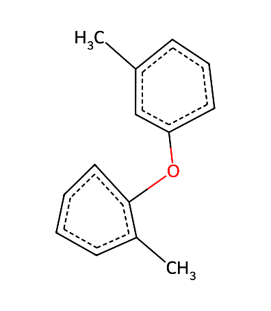 Cc1cccc(Oc2ccccc2C)c1